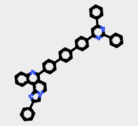 c1ccc(-c2cc(-c3ccc(-c4ccc(-c5ccc(-c6nc7ccccc7c7c6ccn6cc(-c8ccccc8)nc76)cc5)cc4)cc3)nc(-c3ccccc3)n2)cc1